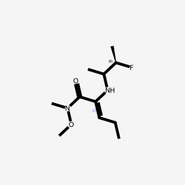 CC/C=C(\NC(C)[C@@H](C)F)C(=O)N(C)OC